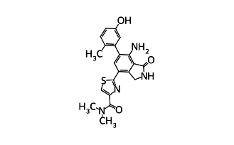 Cc1ccc(O)cc1-c1cc(-c2nc(C(=O)N(C)C)cs2)c2c(c1N)C(=O)NC2